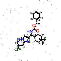 O=C(N[C@H](c1cn2ncc(Cl)cc2n1)C1CCC(F)(F)CC1)OCc1ccccc1